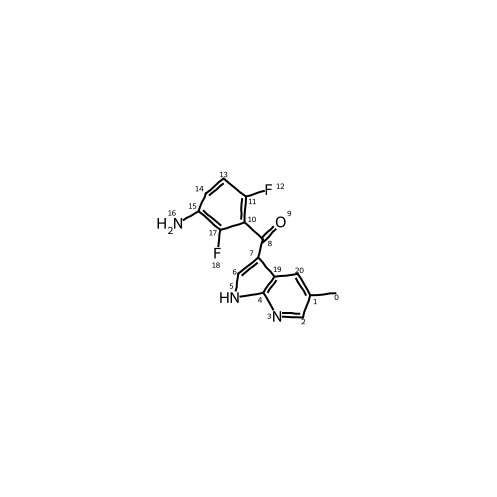 Cc1cnc2[nH]cc(C(=O)c3c(F)ccc(N)c3F)c2c1